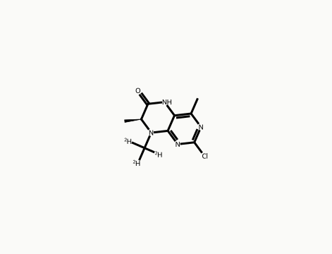 [2H]C([2H])([2H])N1c2nc(Cl)nc(C)c2NC(=O)[C@@H]1C